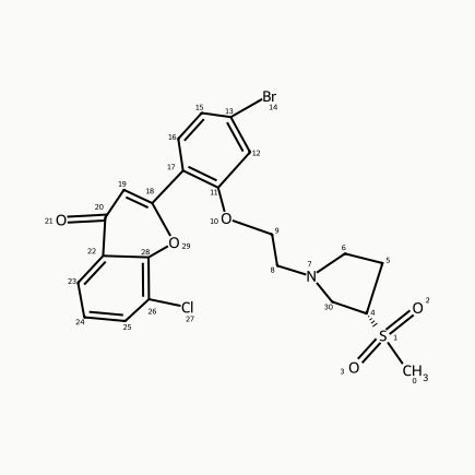 CS(=O)(=O)[C@H]1CCN(CCOc2cc(Br)ccc2-c2cc(=O)c3cccc(Cl)c3o2)C1